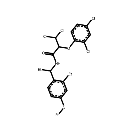 CCc1cc(SC(C)C)ccc1C(CC)NC(=O)C(Oc1ccc(Cl)cc1Cl)C(Cl)Cl